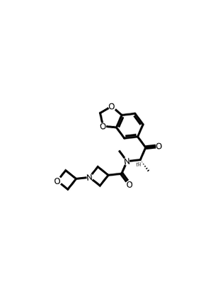 C[C@@H](C(=O)c1ccc2c(c1)OCO2)N(C)C(=O)C1CN(C2COC2)C1